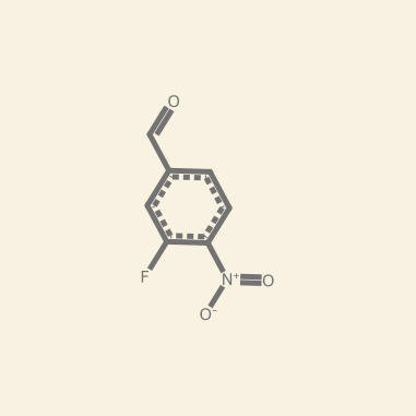 O=Cc1ccc([N+](=O)[O-])c(F)c1